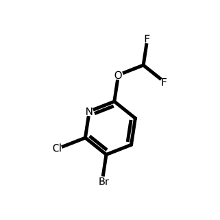 FC(F)Oc1ccc(Br)c(Cl)n1